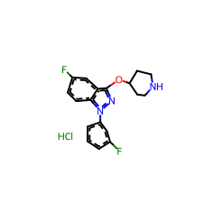 Cl.Fc1cccc(-n2nc(OC3CCNCC3)c3cc(F)ccc32)c1